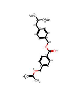 C=C(C)OCc1ccc(C(=O)OCc2ccc(CC(OC)OC)cc2)cc1